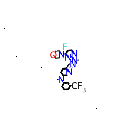 CN(/N=C/c1ccc(N(C)c2cccc(C(F)(F)F)c2)cn1)c1ncc(F)c(N2CCOCC2)n1